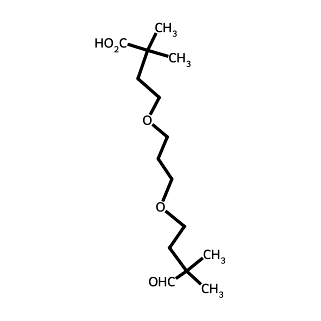 CC(C)(C=O)CCOCCCOCCC(C)(C)C(=O)O